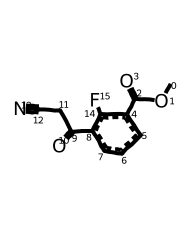 COC(=O)c1cccc(C(=O)CC#N)c1F